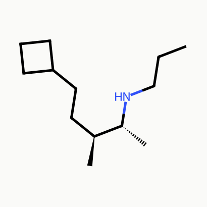 CCCN[C@H](C)[C@@H](C)CCC1CCC1